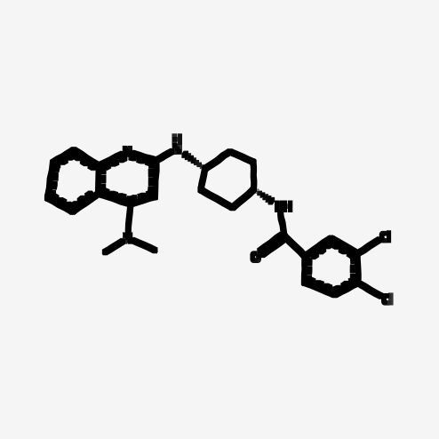 CN(C)c1cc(N[C@H]2CC[C@@H](NC(=O)c3ccc(Cl)c(Cl)c3)CC2)nc2ccccc12